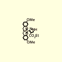 CCOC(=O)c1c[nH]nc1S(=O)(=O)N(Cc1ccc(OC)cc1)Cc1ccc(OC)cc1